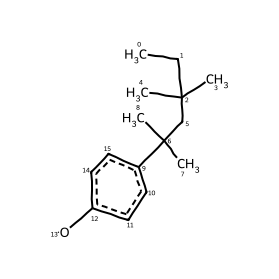 CCC(C)(C)CC(C)(C)c1ccc([O])cc1